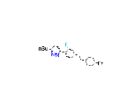 CCCCc1ccc(-c2ccc(CCC3CCC(CC)CC3)cc2F)nn1